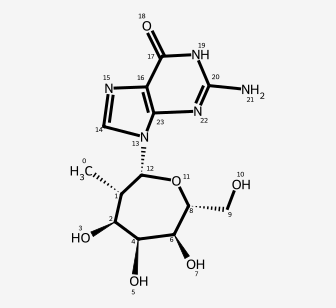 C[C@H]1[C@H](O)[C@H](O)[C@H](O)[C@@H](CO)O[C@H]1n1cnc2c(=O)[nH]c(N)nc21